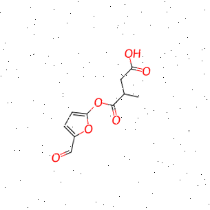 CC(CC(=O)O)C(=O)Oc1ccc(C=O)o1